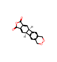 O=C1OC(=O)C2=C[C@H]3c4cc5c(cc4[C@H]3C=C12)COOC5